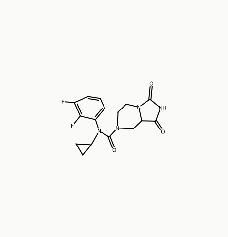 O=C1NC(=O)N2CCN(C(=O)N(c3cccc(F)c3F)C3CC3)CC12